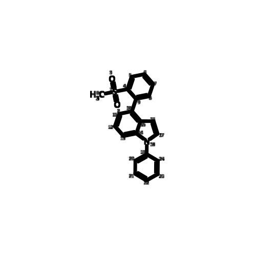 CS(=O)(=O)c1ccccc1-c1cccc2c1ccn2-c1ccccc1